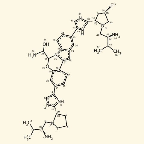 CC(C)[C@H](N)CN1CCC[C@H]1c1ncc(-c2ccc3c(c2)OC(C(N)O)n2c-3cc3cc(-c4cnc([C@@H]5C[C@@H](F)CN5C[C@@H](N)C(C)C)[nH]4)ccc32)[nH]1